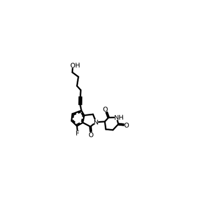 O=C1CCC(N2Cc3c(C#CCCCCO)ccc(F)c3C2=O)C(=O)N1